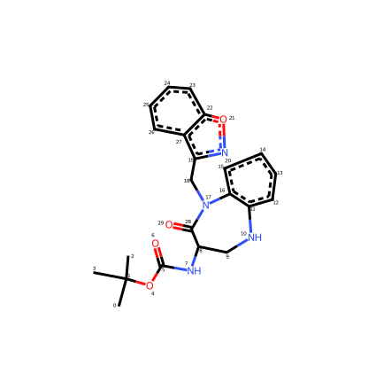 CC(C)(C)OC(=O)NC1CNc2ccccc2N(Cc2noc3ccccc23)C1=O